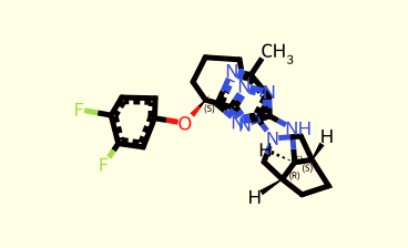 Cc1cc(N2C[C@H]3CC[C@@H](C2)[C@@H]3Nc2nc3n(n2)CCC[C@@H]3Oc2ccc(F)c(F)c2)ncn1